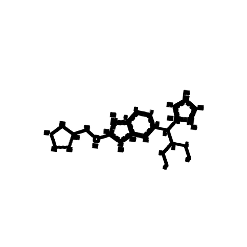 CCC(CC)C(c1ccc2nc(OCC3CCCC3)sc2c1)n1cncn1